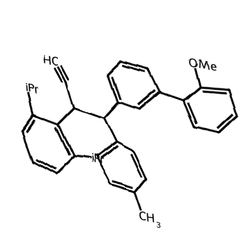 C#CC(c1c(C(C)C)cccc1C(C)C)C(c1ccc(C)cc1)c1cccc(-c2ccccc2OC)c1